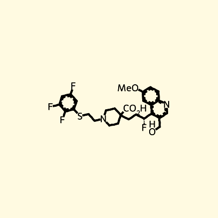 COc1ccc2ncc(CO)c([C@H](F)CCC3(C(=O)O)CCN(CCSc4cc(F)cc(F)c4F)CC3)c2c1